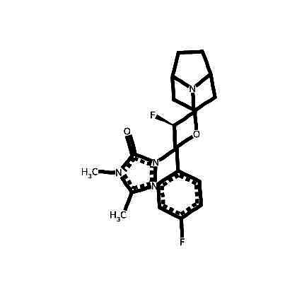 Cc1nn(C[C@@H](F)CN2C3CCC2CC(OCc2ccc(F)cc2)C3)c(=O)n1C